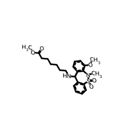 COC(=O)CCCCCCNC1c2ccccc2S(=O)(=O)N(C)c2c(OC)cccc21